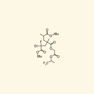 CCC(F)(CC(C)(CC(C)C(=O)OC(C)(C)C)C(=O)OCC(=O)OC(C)C(F)(F)F)C(=O)OC(C)(C)C